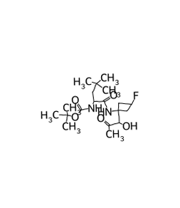 CC(=O)C(O)C1(NC(=O)C(CC(C)(C)C)NC(=O)OC(C)(C)C)CC(F)C1